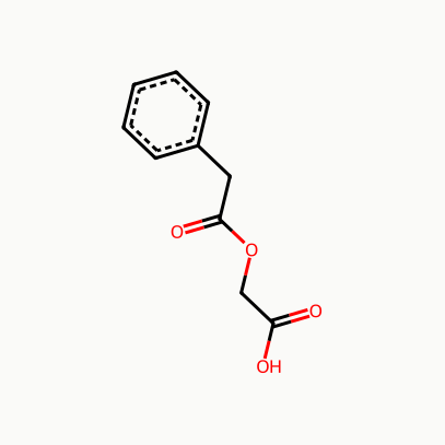 O=C(O)COC(=O)Cc1ccccc1